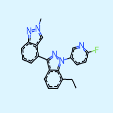 CCc1cccc2c(-c3cccc4nn(C)cc34)nn(-c3ccc(F)nc3)c12